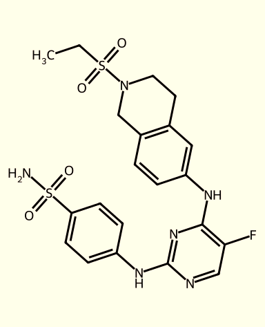 CCS(=O)(=O)N1CCc2cc(Nc3nc(Nc4ccc(S(N)(=O)=O)cc4)ncc3F)ccc2C1